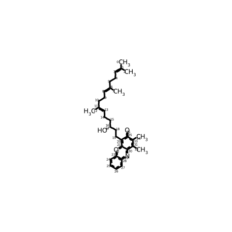 CC(C)=CCC/C(C)=C/CC/C(C)=C/CC[C@@H](O)CCc1c2oc3ccccc3nc-2c(C)c(C)c1=O